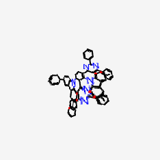 Cc1ccc2c(c1)c1cc(C)ccc1n2-c1c(-c2cc(-c3ccccc3)nc(-c3ccccc3)n2)ccc(-n2c3ccc(-c4ccccc4)cc3c3cc(-c4ccccc4)ccc32)c1-c1cc(-c2ccccc2)nc(-c2ccccc2)n1